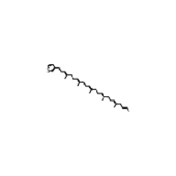 C/C=C/C/C(C)=C/CC/C(C)=C/CC/C(C)=C/CC/C(C)=C/CC/C(C)=C/CCc1ccsc1